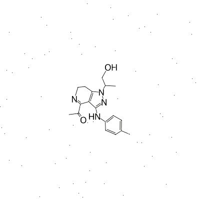 CC(=O)C1=NCCc2c1c(Nc1ccc(C)cc1)nn2C(C)CO